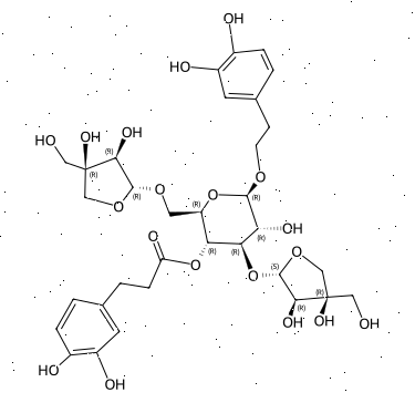 O=C(CCc1ccc(O)c(O)c1)O[C@H]1[C@H](O[C@@H]2OC[C@](O)(CO)[C@H]2O)[C@@H](O)[C@H](OCCc2ccc(O)c(O)c2)O[C@@H]1CO[C@@H]1OC[C@](O)(CO)[C@H]1O